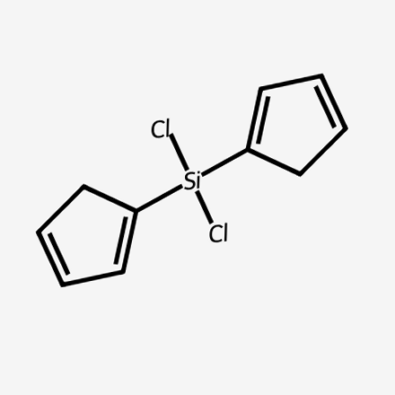 Cl[Si](Cl)(C1=CC=CC1)C1=CC=CC1